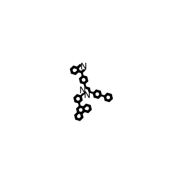 c1ccc(-c2ccc(-c3cc(-c4ccc(-c5cncc6ccccc56)cc4)nc(-c4cccc(-c5cc6ccccc6c6ccccc56)c4)n3)cc2)cc1